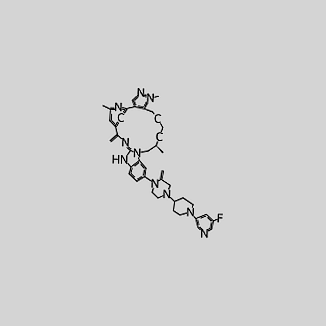 C=C1/N=C2\Nc3ccc(N4CCN(C5CCN(c6cncc(F)c6)CC5)CC4=C)cc3N2C[C@H](C)CCCCc2c(cnn2C)-c2cc1cc(C)n2